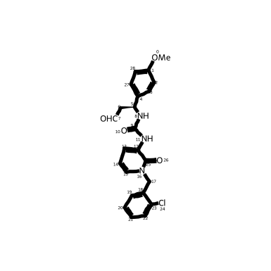 COc1ccc([C@H](CC=O)NC(=O)Nc2cccn(Cc3ccccc3Cl)c2=O)cc1